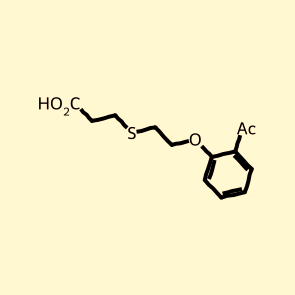 CC(=O)c1ccccc1OCCSCCC(=O)O